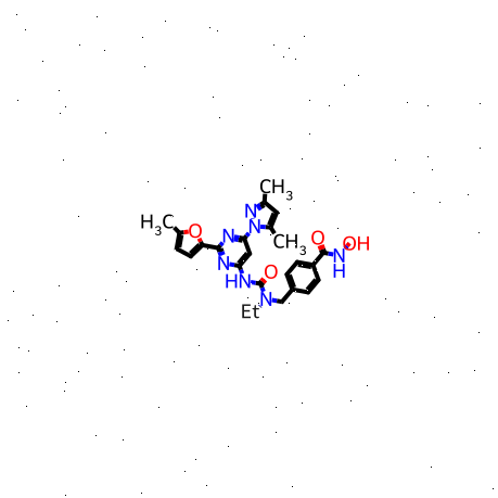 CCN(Cc1ccc(C(=O)NO)cc1)C(=O)Nc1cc(-n2nc(C)cc2C)nc(-c2ccc(C)o2)n1